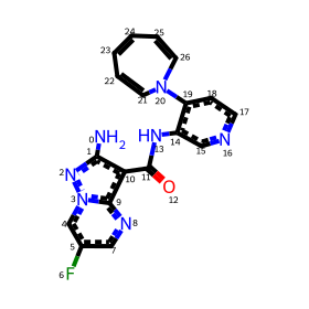 Nc1nn2cc(F)cnc2c1C(=O)Nc1cnccc1N1C=CC=CC=C1